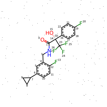 O=C(NCc1cc(C2CC2)ccc1F)[C@@](O)(c1ccc(F)cc1)C(F)(F)F